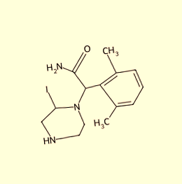 Cc1cccc(C)c1C(C(N)=O)N1CCNCC1I